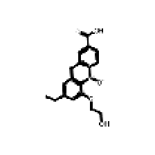 CCc1cc2c(c(OCCO)c1)[S+]([O-])c1ccc(C(=O)O)cc1C2